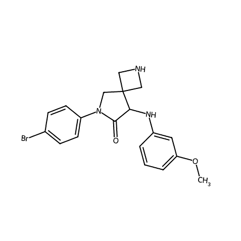 COc1cccc(NC2C(=O)N(c3ccc(Br)cc3)CC23CNC3)c1